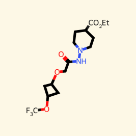 CCOC(=O)C1CCN(NC(=O)COC2CC(OC(F)(F)F)C2)CC1